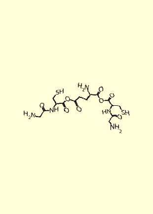 NCC(=O)NC(CS)C(=O)OC(=O)CCC(N)C(=O)OC(=O)C(CS)NC(=O)CN